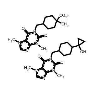 Cn1cnc2c1c(=O)n(CC1CCC(C)(C(=O)O)CC1)c(=O)n2C.Cn1cnc2c1c(=O)n(CC1CCC(C3(O)CC3)CC1)c(=O)n2C